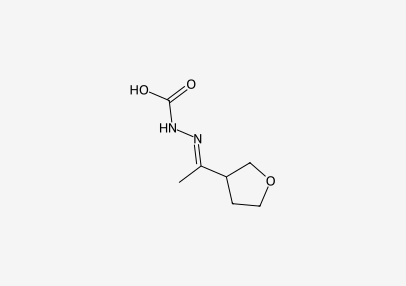 C/C(=N\NC(=O)O)C1CCOC1